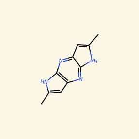 Cc1cc2nc3[nH]c(C)cc3nc2[nH]1